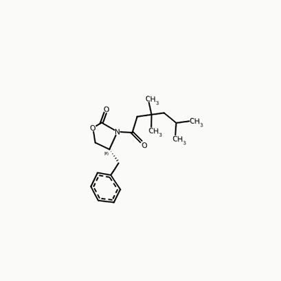 CC(C)CC(C)(C)CC(=O)N1C(=O)OC[C@H]1Cc1ccccc1